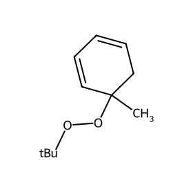 CC(C)(C)OOC1(C)C=CC=CC1